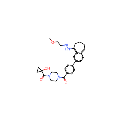 COCCNNC1=c2cc(-c3ccc(C(=O)N4CCN(C(=O)C5(O)CC5)CC4)cc3)ccc2=CCCC1